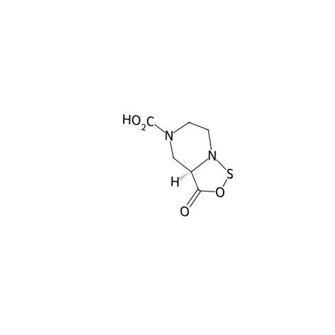 O=C1OSN2CCN(C(=O)O)C[C@H]12